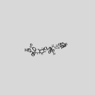 CCOC(Cc1ccc(OCCN(CCCCC(F)(F)C(F)(F)C(F)(F)F)C(=O)OC)cc1)C(=O)O